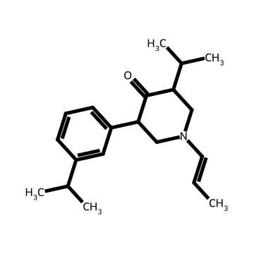 CC=CN1CC(c2cccc(C(C)C)c2)C(=O)C(C(C)C)C1